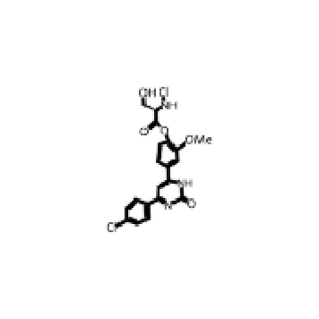 COc1cc(-c2cc(-c3ccc(Cl)cc3)nc(=O)[nH]2)ccc1OC(=O)[C@@H](CO)NCl